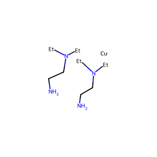 CCN(CC)CCN.CCN(CC)CCN.[Cu]